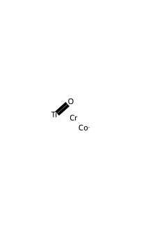 [Co].[Cr].[O]=[Ti]